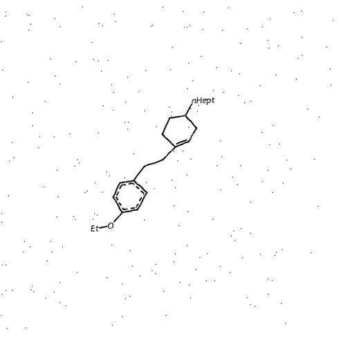 CCCCCCCC1CC=C(CCc2ccc(OCC)cc2)CC1